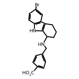 O=C(O)c1ccc(CNC2CCCc3c2[nH]c2ccc(Br)cc32)cc1